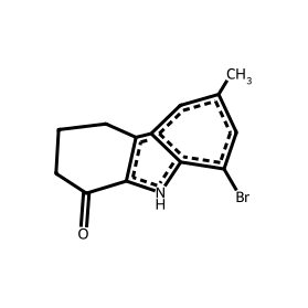 Cc1cc(Br)c2[nH]c3c(c2c1)CCCC3=O